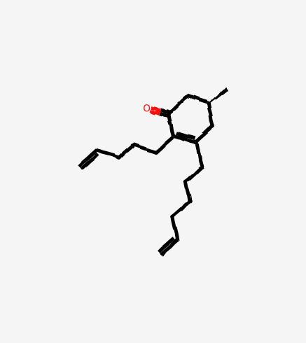 C=CCCCCC1=C(CCCC=C)C(=O)C[C@@H](C)C1